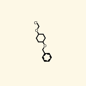 ClCOC1CCC(OCc2ccccc2)CC1